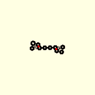 C1=CCC=CC(P(=Nc2ccc(-c3ccc(-c4ccc(-c5ccc(N=P(c6ccccc6)(c6ccccc6)c6ccccc6)cc5)cc4)cc3)cc2)(c2ccccc2)c2ccccc2)=C1